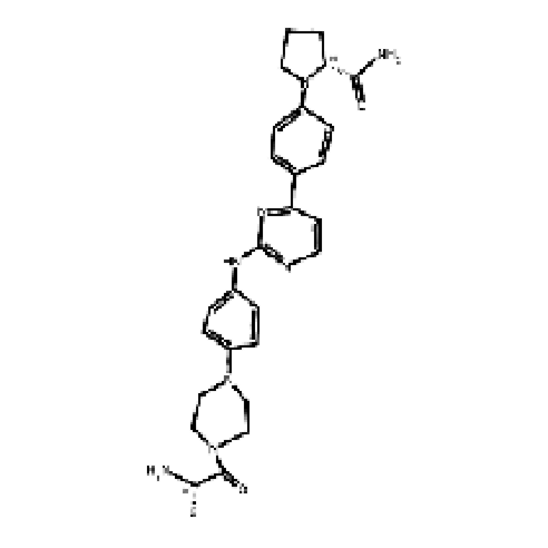 C[C@H](N)C(=O)N1CCN(c2ccc(Nc3nccc(-c4ccc(N5CCC[C@@H]5C(N)=O)cc4)n3)cc2)CC1